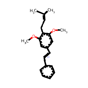 COc1cc(/C=C/c2ccccc2)cc(OC)c1CC=C(C)C